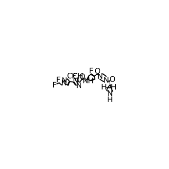 Cn1c(-c2cn(CC(F)F)nc2C(F)(F)F)cnc1C(=O)Nc1ccc(C(=O)N2CCN(C(=O)[C@@H]3[C@@H]4CNC[C@@H]43)CC2)c(F)c1